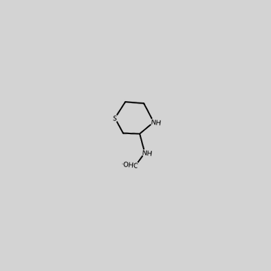 O=[C]NC1CSCCN1